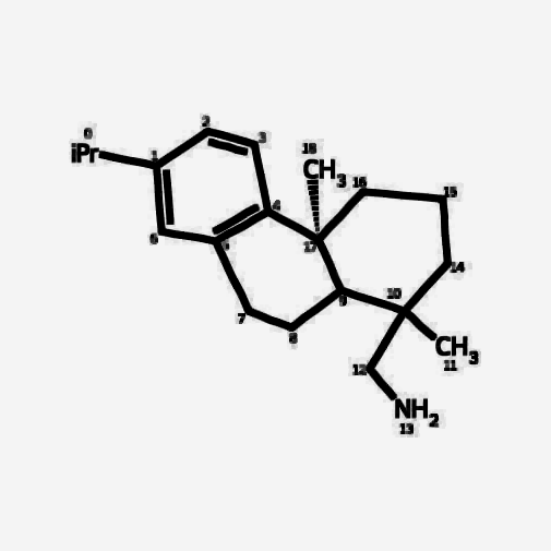 CC(C)c1ccc2c(c1)CCC1C(C)(CN)CCC[C@]21C